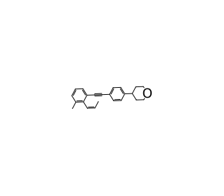 C/C=C\c1c(C)cccc1C#Cc1ccc(C2CCOCC2)cc1